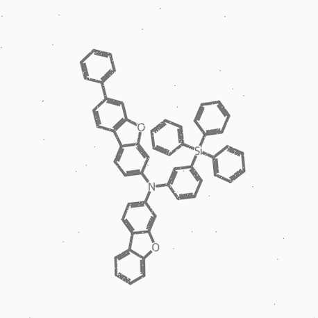 c1ccc(-c2ccc3c(c2)oc2cc(N(c4cccc([Si](c5ccccc5)(c5ccccc5)c5ccccc5)c4)c4ccc5c(c4)oc4ccccc45)ccc23)cc1